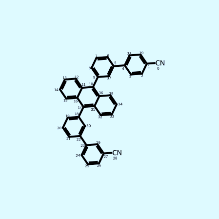 N#Cc1ccc(-c2cccc(-c3c4ccccc4c(-c4cccc(-c5cccc(C#N)c5)c4)c4ccccc34)c2)cc1